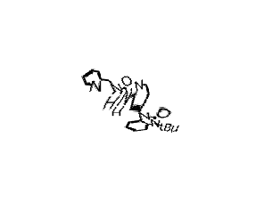 CC(C)(C)n1c(=O)n(-c2ccnc(NC(=O)NCc3ccccn3)c2)c2ccccc21